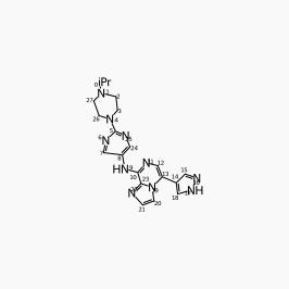 CC(C)N1CCN(c2ncc(Nc3ncc(-c4cn[nH]c4)n4ccnc34)cn2)CC1